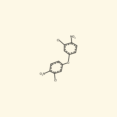 O=[N+]([O-])c1ccc(Oc2ccc([N+](=O)[O-])c(Cl)c2)cc1Cl